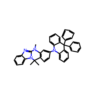 CN1c2cc(N3c4ccccc4C(c4ccccc4)(c4ccccc4)c4ccccc43)ccc2C(C)(C)n2c1nc1ccccc12